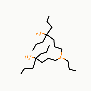 CCCP(CCCC(P)(CCC)CCC)CCCC(P)(CCC)CCC